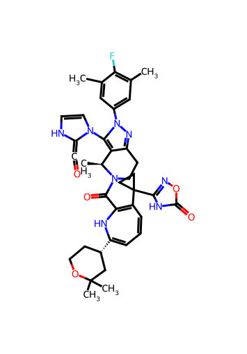 Cc1cc(-n2nc3c(c2N2C=CNC2=C=O)[C@H](C)N(C(=O)C2=C(C4(c5noc(=O)[nH]5)CC4)C=CC=C([C@H]4CCOC(C)(C)C4)N2)CC3)cc(C)c1F